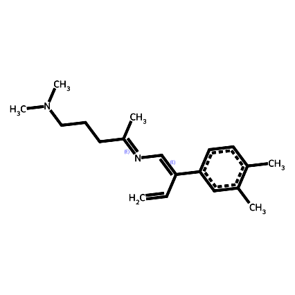 C=C/C(=C\N=C(/C)CCCN(C)C)c1ccc(C)c(C)c1